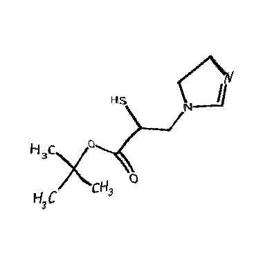 CC(C)(C)OC(=O)C(S)CN1C=NCC1